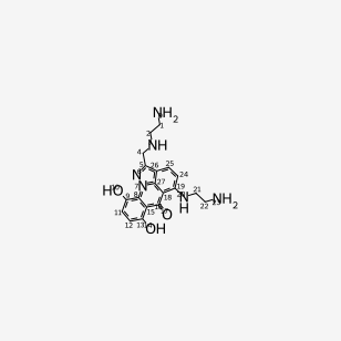 NCCNCc1nn2c3c(O)ccc(O)c3c(=O)c3c(NCCN)ccc1c32